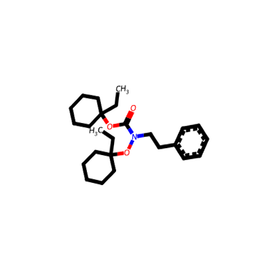 CCC1(OC(=O)N(CCc2ccccc2)OC2(CC)CCCCC2)CCCCC1